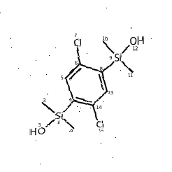 C[Si](C)(O)c1cc(Cl)c([Si](C)(C)O)cc1Cl